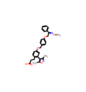 CO/N=C(\COc1ccc(COc2ccc(CCC(=O)O)c(-c3c(C)noc3C)c2)cc1)c1ccccc1